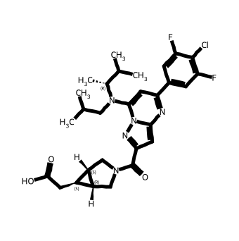 CC(C)CN(c1cc(-c2cc(F)c(Cl)c(F)c2)nc2cc(C(=O)N3C[C@@H]4[C@@H](CC(=O)O)[C@@H]4C3)nn12)[C@H](C)C(C)C